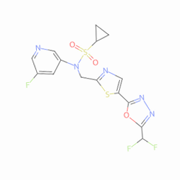 O=S(=O)(C1CC1)N(Cc1ncc(-c2nnc(C(F)F)o2)s1)c1cncc(F)c1